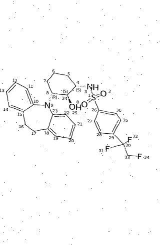 O=S(=O)(N[C@H]1CCC[C@@H](N2c3ccccc3CCc3ccccc32)[C@@H]1O)c1ccc(C(F)(F)CF)cc1